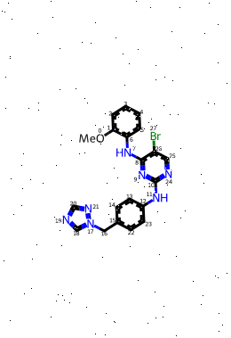 COc1ccccc1Nc1nc(Nc2ccc(Cn3cncn3)cc2)ncc1Br